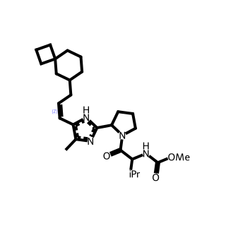 COC(=O)NC(C(=O)N1CCCC1c1nc(C)c(/C=C\CC2CCCC3(CCC3)C2)[nH]1)C(C)C